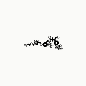 CSCCOCn1cc(COc2ccc([N+](=O)[O-])c(COC(=O)C(C)(C)C(CBr)c3ccc(S(=O)(=O)O)cc3)c2)nn1